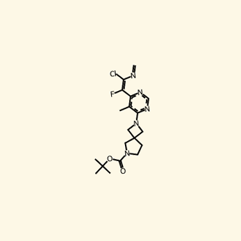 C=N/C(Cl)=C(/F)c1ncnc(N2CC3(CCN(C(=O)OC(C)(C)C)C3)C2)c1C